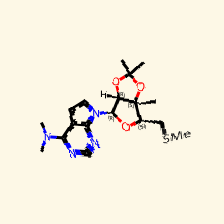 CSC[C@H]1O[C@@H](n2ccc3c(N(C)C)ncnc32)[C@@H]2OC(C)(C)O[C@]12C